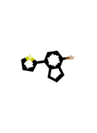 Brc1ccc(-c2cccs2)c2c1C=CC2